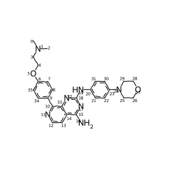 CN(C)CCOc1ccc(-c2nccc3c(N)nc(Nc4ccc(N5CCOCC5)cc4)nc23)cc1